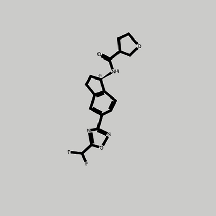 O=C(N[C@@H]1CCc2cc(-c3noc(C(F)F)n3)ccc21)C1CCOC1